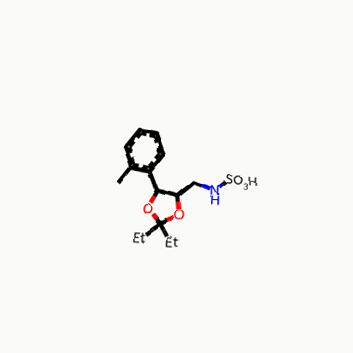 CCC1(CC)OC(CNS(=O)(=O)O)C(c2ccccc2C)O1